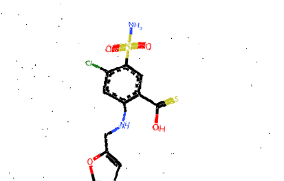 NS(=O)(=O)c1cc(C(O)=S)c(NCC2=CCCO2)cc1Cl